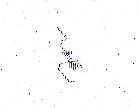 CCC=CCC=CC/C=C\C/C=C\C/C=C\CCCC(=O)NCCCC[C@H](NC(=O)CCC/C=C\C/C=C\CC=CCC=CC/C=C\CC)C(=O)Nc1ccncc1